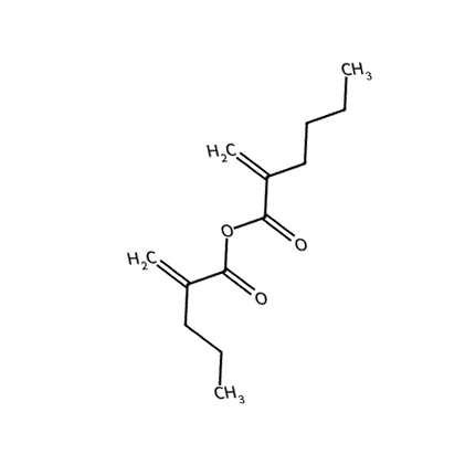 C=C(CCC)C(=O)OC(=O)C(=C)CCCC